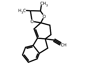 C#CC12CCC3(C=C1c1ccccc1C2)OC(C)C(C)O3